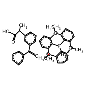 CC(C(=O)O)c1cccc(C(=O)c2ccccc2)c1.COc1cccc(OC)c1P(c1c(OC)cccc1OC)c1c(OC)cccc1OC